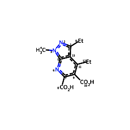 CCc1nn(C)c2nc(C(=O)O)c(C(=O)O)c(CC)c12